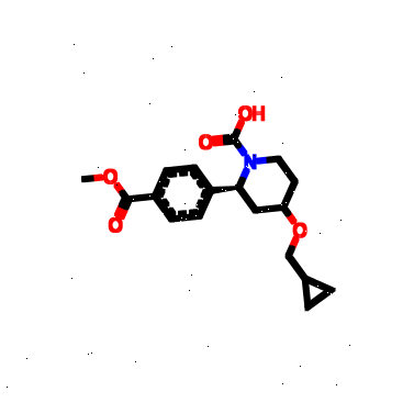 COC(=O)c1ccc([C@@H]2CC(OCC3CC3)CCN2C(=O)O)cc1